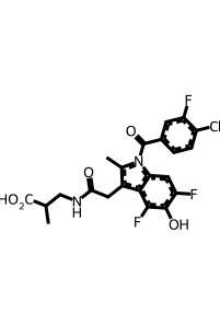 Cc1c(CC(=O)NCC(C)C(=O)O)c2c(F)c(O)c(F)cc2n1C(=O)c1ccc(Cl)c(F)c1